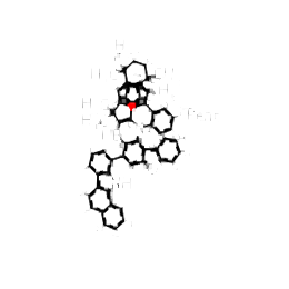 CCC[C@H](C)c1ccc(N2C3=C(Bc4c(-c5cccc6c5[nH]c5c7ccccc7ccc65)cc5oc6ccccc6c5c42)C(C)(C)c2cc4c(cc23)C(C)(C)CCC4(C)C)c(-c2ccccc2)c1